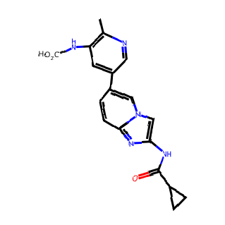 Cc1ncc(-c2ccc3nc(NC(=O)C4CC4)cn3c2)cc1NC(=O)O